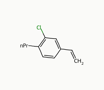 C=Cc1ccc(CCC)c(Cl)c1